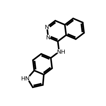 c1ccc2c(Nc3ccc4[nH]ccc4c3)nncc2c1